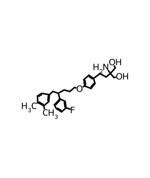 Cc1ccc(CC(CCCOc2ccc(CCC(N)(CO)CO)cc2)c2cccc(F)c2)cc1C